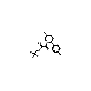 Cc1ccc([C@H]2CC[C@H](C)CN2C(=O)C(=O)OCC(F)(F)F)cc1